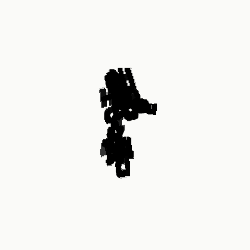 Cc1nc2c3c(nn2c(C)c1Cl)CN(C(=O)c1ccc(F)cc1O[C@@H]1C[C@@H]2CC[C@H]1N2C(=O)OC(C)(C)C)C3